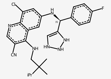 CC(C)C(C)(C)CNc1c(C#N)cnc2c(Cl)cc(N[C@H](C3=CNNN3)c3ccc(F)cc3)cc12